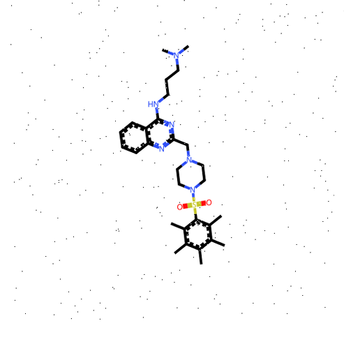 Cc1c(C)c(C)c(S(=O)(=O)N2CCN(Cc3nc(NCCCN(C)C)c4ccccc4n3)CC2)c(C)c1C